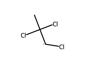 CC(Cl)(Cl)[CH]Cl